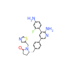 Nc1ccc(-c2cc(-c3ccc(C[C@@H]4CCC(=O)N4Cc4cncs4)cc3)cnc2N)c(F)c1